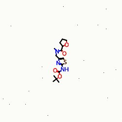 CN(Cc1csc(NC(=O)OC(C)(C)C)n1)C(=O)C1CCCO1